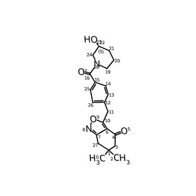 CC1(C)CC(=O)c2c(noc2Cc2ccc(C(=O)N3CCC[C@H](O)C3)cc2)C1